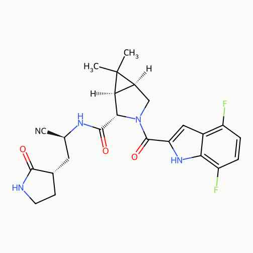 CC1(C)[C@@H]2[C@@H](C(=O)N[C@H](C#N)C[C@@H]3CCNC3=O)N(C(=O)c3cc4c(F)ccc(F)c4[nH]3)C[C@@H]21